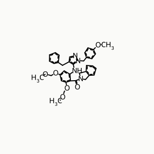 COCOc1cc(Nc2c(Cc3ccccc3)cnn2Cc2ccc(OC)cc2)c(C(=O)N2Cc3ccccc3C2)c(OCOC)c1